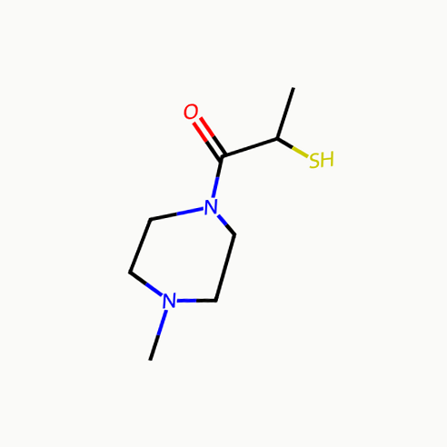 CC(S)C(=O)N1CCN(C)CC1